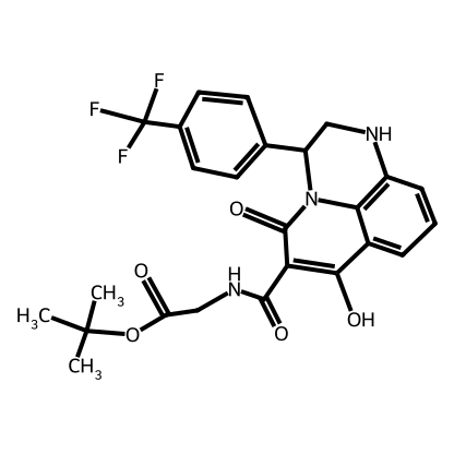 CC(C)(C)OC(=O)CNC(=O)c1c(O)c2cccc3c2n(c1=O)C(c1ccc(C(F)(F)F)cc1)CN3